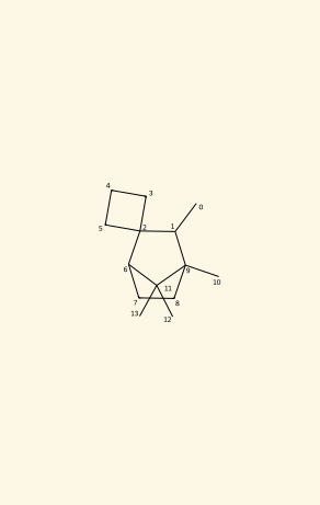 CC1C2(CCC2)C2CCC1(C)C2(C)C